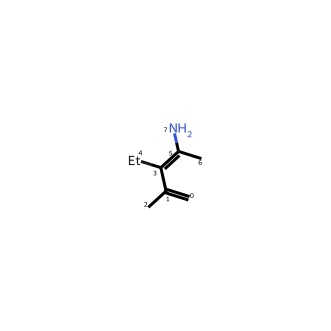 C=C(C)/C(CC)=C(\C)N